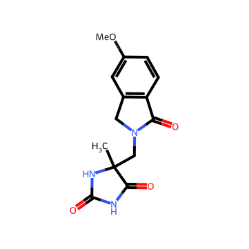 COc1ccc2c(c1)CN(CC1(C)NC(=O)NC1=O)C2=O